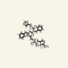 CC(C)C1=NC(CN(C)C(=O)NCC(=O)N[C@H](CCN(Cc2ccccc2)C(=O)OCc2cncs2)Cc2ccccc2)CS1